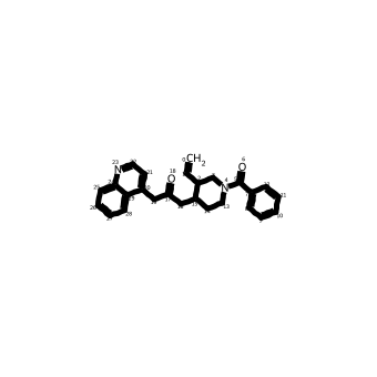 C=CC1CN(C(=O)c2ccccc2)CCC1CC(=O)Cc1ccnc2ccccc12